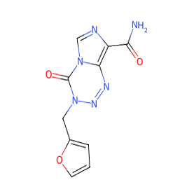 NC(=O)c1ncn2c(=O)n(Cc3ccco3)nnc12